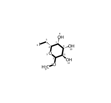 COC1O[C@H](CI)[C@H](O)[C@H](O)[C@H]1O